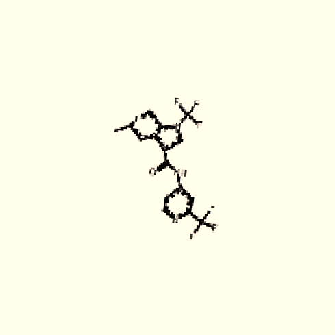 Cc1ccc2c(c1)c(C(=O)Nc1ccnc(C(F)(F)F)c1)cn2C(F)(F)F